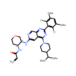 C=CC(=O)N[C@H]1CCOC[C@H]1Nc1cc2c(N3CCC(C(OC)OC)CC3)nc(-c3c(Cl)c(OC)cc(OC)c3Cl)nc2cn1